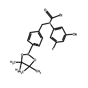 CCC(=O)N(Cc1ccc(B2OC(C)(C)C(C)(C)O2)cc1)c1cc(F)cc(C#N)c1